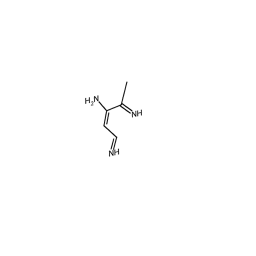 CC(=N)/C(N)=C\C=N